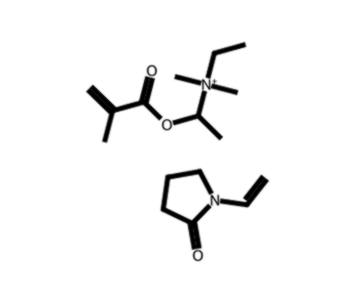 C=C(C)C(=O)OC(C)[N+](C)(C)CC.C=CN1CCCC1=O